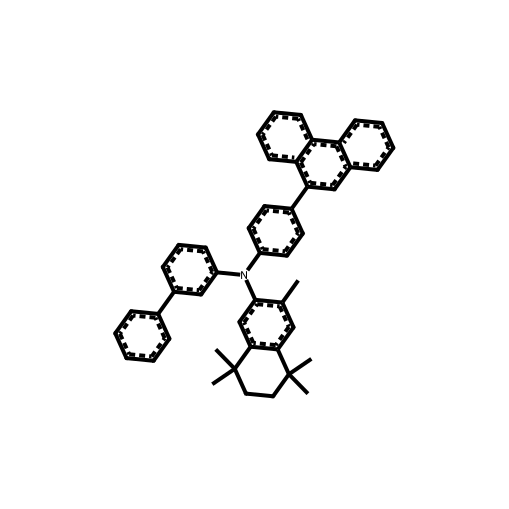 Cc1cc2c(cc1N(c1ccc(-c3cc4ccccc4c4ccccc34)cc1)c1cccc(-c3ccccc3)c1)C(C)(C)CCC2(C)C